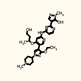 CCOc1nn(C2CCN(C)CC2)cc1-c1cnc(Nc2ccnc(-c3cnn(C)c3O)n2)cc1O[C@@H](C)CCO